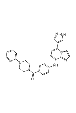 O=C(c1ccc(Nc2ncc(-c3cn[nH]c3)n3ncnc23)cc1)N1CCN(c2ccccn2)CC1